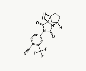 N#Cc1ccc(N2C(=O)[C@@H]3[C@@H]4CC[C@@H](C4)N3C2=O)cc1C(F)(F)F